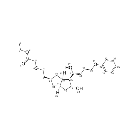 CCOC(=O)CSCC[C@@H]1C[C@@H]2C[C@@H](O)[C@H](C(O)=CCCOc3ccccc3)[C@@H]2C1